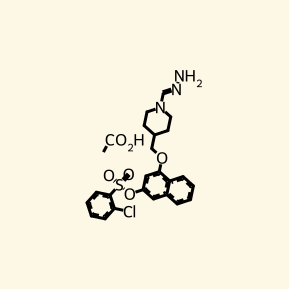 CC(=O)O.NN=CN1CCC(COc2cc(OS(=O)(=O)c3ccccc3Cl)cc3ccccc23)CC1